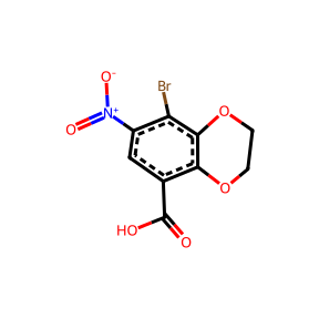 O=C(O)c1cc([N+](=O)[O-])c(Br)c2c1OCCO2